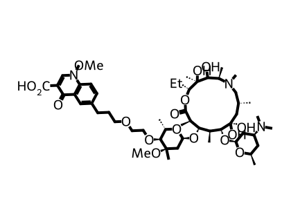 CC[C@H]1OC(=O)[C@H](C)[C@@H](O[C@H]2C[C@@](C)(OC)[C@@H](OCCOCCCc3ccc4c(c3)c(=O)c(C(=O)O)cn4OC)[C@H](C)O2)[C@H](C)[C@@H](O[C@@H]2O[C@H](C)C[C@H](N(C)C)[C@H]2O)[C@](C)(O)C[C@@H](C)CN(C)[C@H](C)C(O)[C@]1(C)O